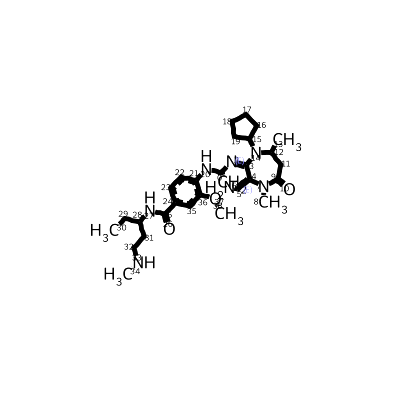 C=C(/N=C1\C(=C/N)N(C)C(=O)CC(C)N1C1CCCC1)Nc1ccc(C(=O)NC(CC)CCNC)cc1OC